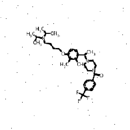 Cc1c(OCCCCN(C(C)C)C(C)C)ccc(C(C)N2CCN(C(=O)c3ccc(C(F)(F)F)cc3)CC2)c1C